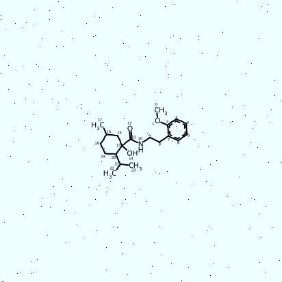 COc1ccccc1CCNC(=O)C1(O)CC(C)CCC1C(C)C